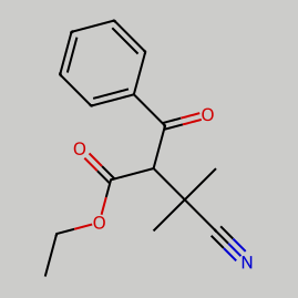 CCOC(=O)C(C(=O)c1ccccc1)C(C)(C)C#N